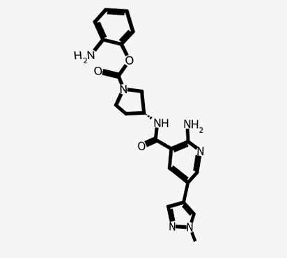 Cn1cc(-c2cnc(N)c(C(=O)N[C@@H]3CCN(C(=O)Oc4ccccc4N)C3)c2)cn1